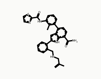 C=C(C)CNCc1ccccc1-c1cc2c(-c3cccc(NC(=O)c4nccs4)c3C)ccc(C(N)=O)c2[nH]1